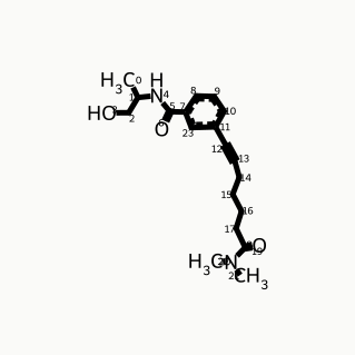 CC(CO)NC(=O)c1cccc(C#CCCCCC(=O)N(C)C)c1